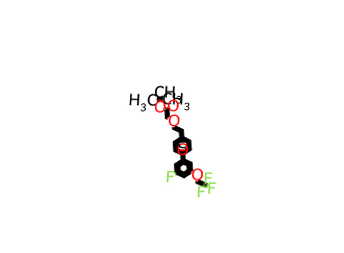 CC(C)(C)OC(=O)COCCC12CCC(c3cc(F)cc(OCC(F)(F)F)c3)(CC1)OC2